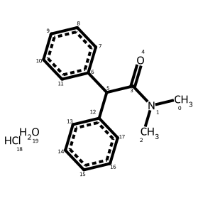 CN(C)C(=O)C(c1ccccc1)c1ccccc1.Cl.O